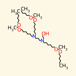 CCCCCCOC(C)OCCCCCCN(CCO)CCCN(CCCCCCOC(C)OCCCCCC)CCCCCCOC(C)OCCCCCC